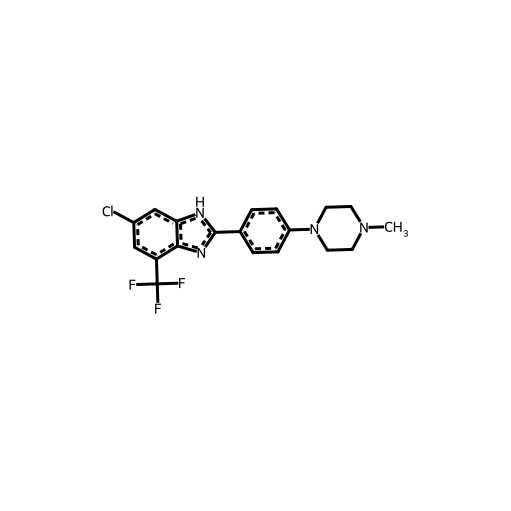 CN1CCN(c2ccc(-c3nc4c(C(F)(F)F)cc(Cl)cc4[nH]3)cc2)CC1